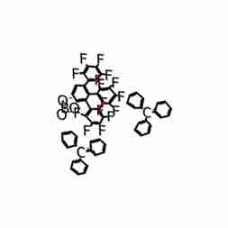 [O-]B([O-])Oc1ccc(-c2c(F)c(F)c(F)c(F)c2F)c(-c2c(F)c(F)c(F)c(F)c2F)c1-c1c(F)c(F)c(F)c(F)c1F.c1ccc([C+](c2ccccc2)c2ccccc2)cc1.c1ccc([C+](c2ccccc2)c2ccccc2)cc1